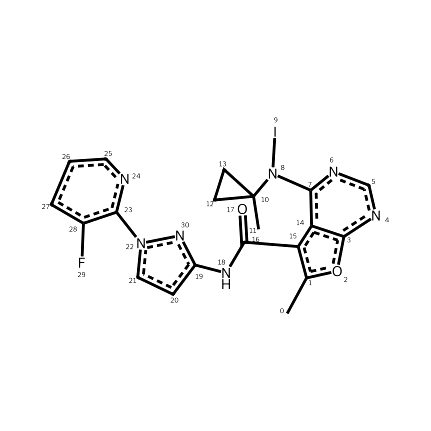 Cc1oc2ncnc(N(I)C3(C)CC3)c2c1C(=O)Nc1ccn(-c2ncccc2F)n1